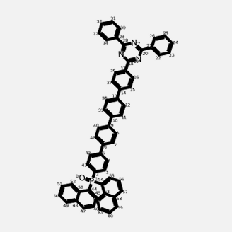 O=P(c1ccc(-c2ccc(-c3ccc(-c4ccc(-c5nc(-c6ccccc6)nc(-c6ccccc6)n5)cc4)cc3)cc2)cc1)(c1cccc2ccccc12)c1cccc2ccccc12